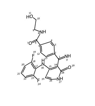 N=C(c1ccc(C(=O)NCCO)cc1)c1c(Nc2c(F)cccc2F)cc[nH]c1=O